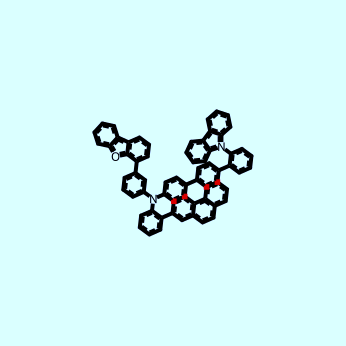 c1cc(-c2cccc3c2oc2ccccc23)cc(N(c2ccc(-c3ccc(-c4ccccc4-n4c5ccccc5c5ccccc54)cc3)cc2)c2ccccc2-c2ccc3c(ccc4ccccc43)c2)c1